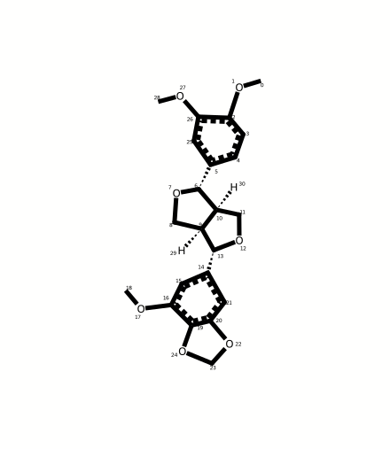 COc1ccc([C@H]2OC[C@H]3[C@@H]2CO[C@@H]3c2cc(OC)c3c(c2)OCO3)cc1OC